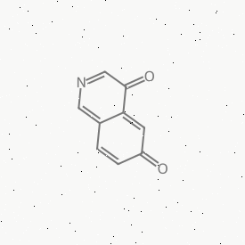 O=C1C=CC2=CN=CC(=O)C2=C1